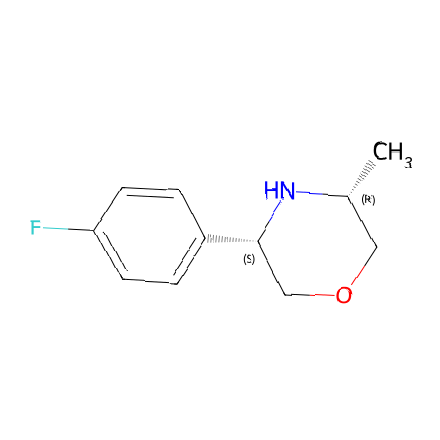 C[C@@H]1COC[C@H](c2ccc(F)cc2)N1